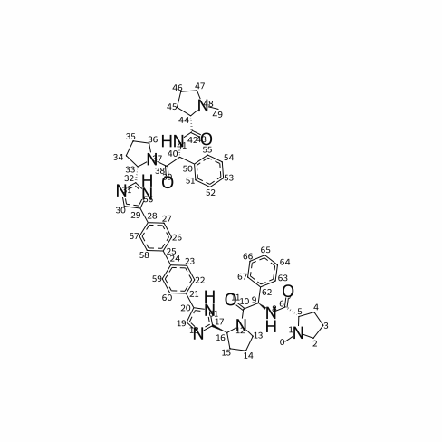 CN1CCC[C@H]1C(=O)N[C@@H](C(=O)N1CCC[C@H]1c1ncc(-c2ccc(-c3ccc(-c4cnc([C@@H]5CCCN5C(=O)[C@H](NC(=O)[C@@H]5CCCN5C)c5ccccc5)[nH]4)cc3)cc2)[nH]1)c1ccccc1